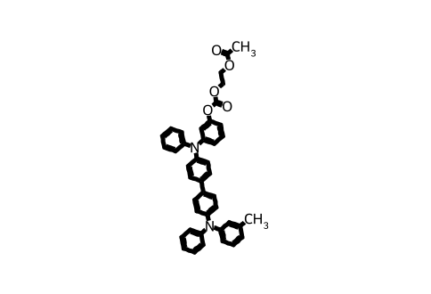 CC(=O)OCCOC(=O)Oc1cccc(N(c2ccccc2)c2ccc(-c3ccc(N(c4ccccc4)c4cccc(C)c4)cc3)cc2)c1